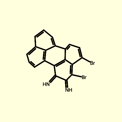 N=c1c(Br)c2c(Br)ccc3c4cccc5cccc(c(c1=N)c23)c54